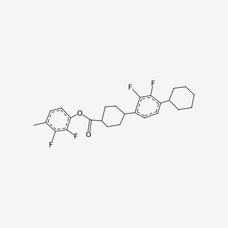 Cc1ccc(OC(=O)C2CCC(c3ccc(C4CCCCC4)c(F)c3F)CC2)c(F)c1F